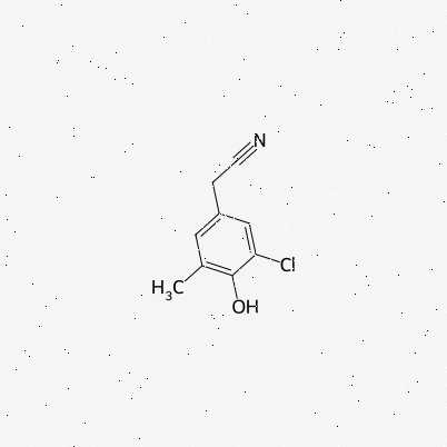 Cc1cc(CC#N)cc(Cl)c1O